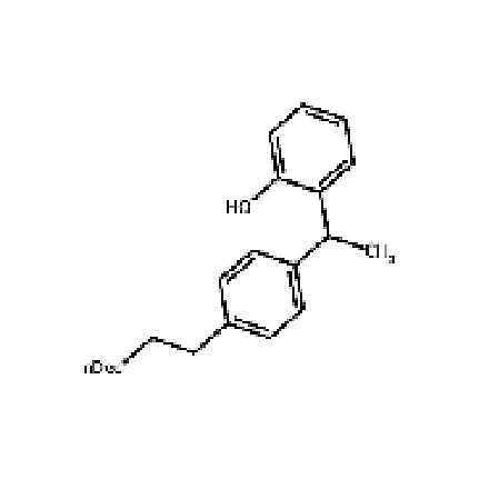 CCCCCCCCCCCCc1ccc(C(C)c2ccccc2O)cc1